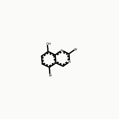 Oc1ccc(Br)c2cnc(Br)nc12